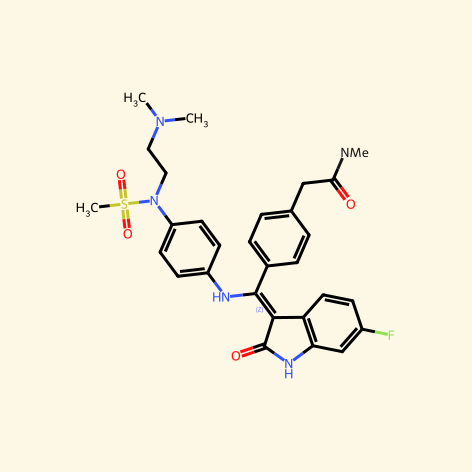 CNC(=O)Cc1ccc(/C(Nc2ccc(N(CCN(C)C)S(C)(=O)=O)cc2)=C2/C(=O)Nc3cc(F)ccc32)cc1